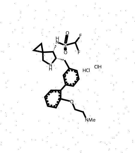 CNCCOc1ccccc1-c1cccc(C[C@@H]2NCC3(CC3)[C@@H]2NS(=O)(=O)C(F)F)c1.Cl.Cl